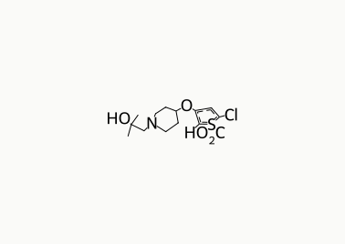 CC(C)(O)CN1CCC(Oc2cc(Cl)sc2C(=O)O)CC1